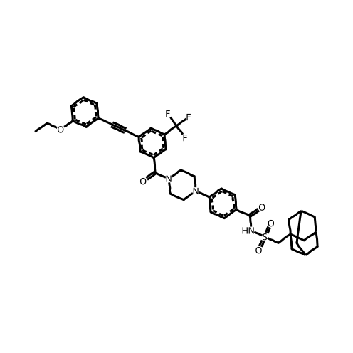 CCOc1cccc(C#Cc2cc(C(=O)N3CCN(c4ccc(C(=O)NS(=O)(=O)CC56CC7CC(CC(C7)C5)C6)cc4)CC3)cc(C(F)(F)F)c2)c1